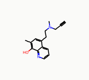 C#CCN(C)CCc1cc(C)c(O)c2ncccc12